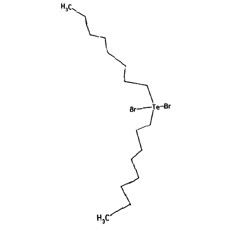 CCCCCCCC[Te](Br)(Br)CCCCCCCC